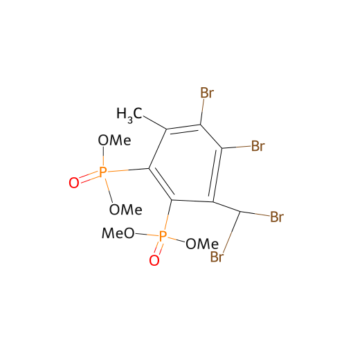 COP(=O)(OC)c1c(C)c(Br)c(Br)c(C(Br)Br)c1P(=O)(OC)OC